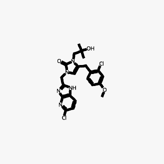 COc1ccc(Cc2cn(Cc3nc4nc(Cl)ccc4[nH]3)c(=O)n2CC(C)(C)O)c(Cl)c1